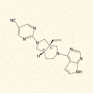 C=C[C@]12CN(c3ncc(C#N)cn3)C[C@H]1CCN(c1ncnc3[nH]ccc13)C2